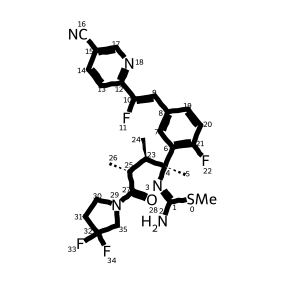 CS/C(N)=N\[C@](C)(c1cc(/C=C(\F)c2ccc(C#N)cn2)ccc1F)[C@H](C)[C@@H](C)C(=O)N1CCC(F)(F)C1